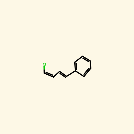 Cl/C=C\C=C\c1ccccc1